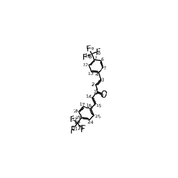 O=C(C=Cc1ccc(C(F)(F)F)cc1)/C=C/c1ccc(C(F)(F)F)cc1